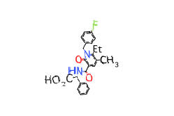 CCc1c(C)cc(C(=O)N[C@H](C(=O)O)c2ccccc2)c(=O)n1Cc1ccc(F)cc1